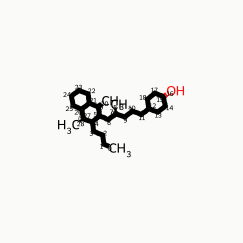 CCCCC1C(C[C@@H](C)CCCC2CCC(O)CC2)C(C)C2CCCCC2[C@@H]1C